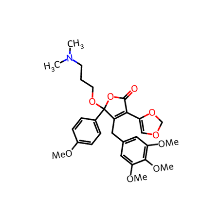 COc1ccc(C2(OCCCN(C)C)OC(=O)C(C3=COCO3)=C2Cc2cc(OC)c(OC)c(OC)c2)cc1